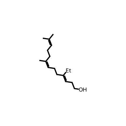 CC/C(=C\CCO)CC/C=C(/C)CCC=C(C)C